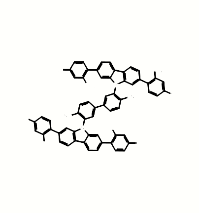 Cc1ccc(-c2ccc3c4ccc(-c5ccc(C)cc5C)cc4n(-c4cc(-c5ccc(C#N)c(-n6c7cc(-c8ccc(C)cc8C)ccc7c7ccc(-c8ccc(C)cc8C)cc76)c5)ccc4C#N)c3c2)c(C)c1